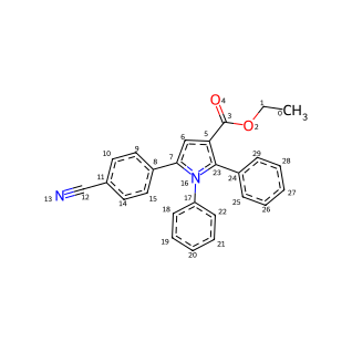 CCOC(=O)c1cc(-c2ccc(C#N)cc2)n(-c2ccccc2)c1-c1ccccc1